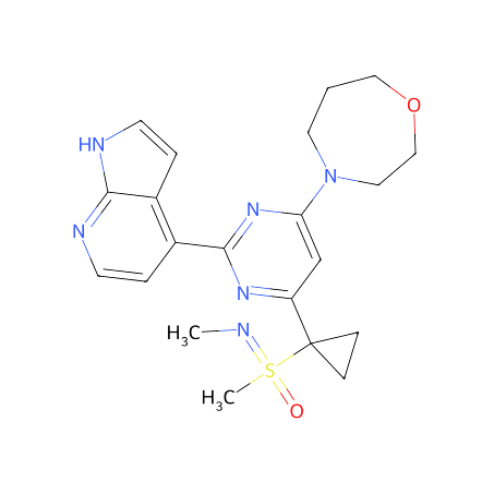 CN=S(C)(=O)C1(c2cc(N3CCCOCC3)nc(-c3ccnc4[nH]ccc34)n2)CC1